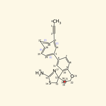 CC#CC1=C/C(c2ccc3c(c2)C2(CSC(N)=N2)C2(COC2)CO3)=C\C=C\C=C\1